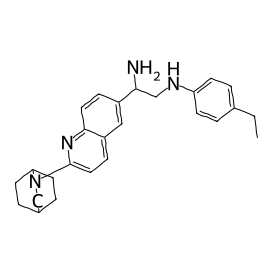 CCc1ccc(NCC(N)c2ccc3nc(N4CC5CCC4CC5)ccc3c2)cc1